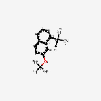 [2H]C([2H])([2H])Oc1ccc2cccc(C([2H])([2H])C#N)c2c1